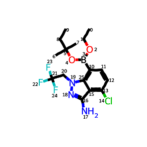 CCOB(OC(C)(C)CC)c1ccc(Cl)c2c(N)nn(CC(F)(F)F)c12